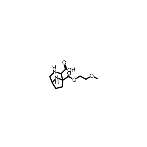 COCCOC(=O)C12CCC(CNC1C(=O)O)N2